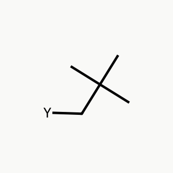 CC(C)(C)[CH2][Y]